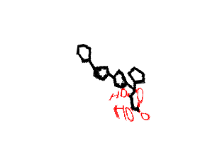 O=C1OC(c2ccc(-c3ccc(C4CCCCC4)cc3)cc2)(C2CCCC2)C(O)=C1O